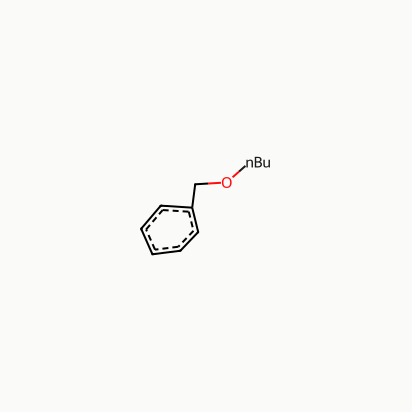 CCCCOCc1ccccc1